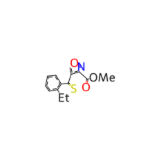 CCc1ccccc1C(=S)c1conc1C(=O)OC